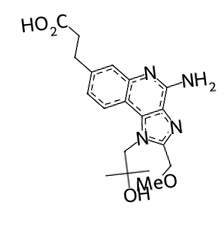 COCc1nc2c(N)nc3cc(CCC(=O)O)ccc3c2n1CC(C)(C)O